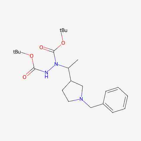 CC(C1CCN(Cc2ccccc2)C1)N(NC(=O)OC(C)(C)C)C(=O)OC(C)(C)C